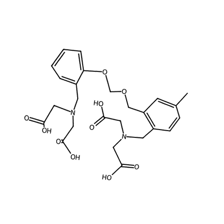 Cc1ccc(CN(CC(=O)O)CC(=O)O)c(COCOc2ccccc2CN(CC(=O)O)CC(=O)O)c1